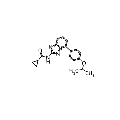 CC(C)Oc1ccc(-c2cccc3nc(NC(=O)C4CC4)nn23)cc1